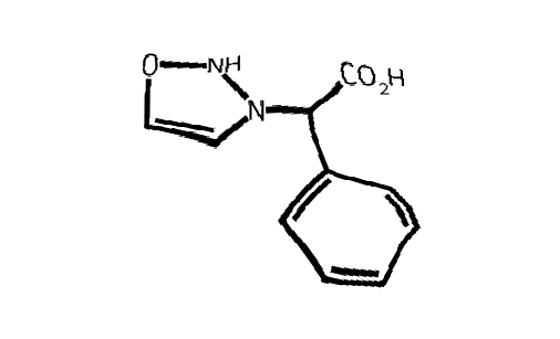 O=C(O)C(c1ccccc1)N1C=CON1